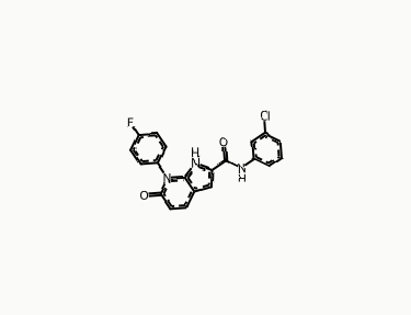 O=C(Nc1cccc(Cl)c1)c1cc2ccc(=O)n(-c3ccc(F)cc3)c2[nH]1